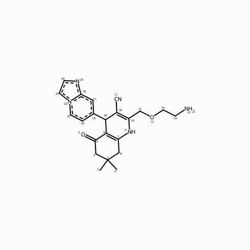 CC1(C)CC(=O)C2=C(C1)NC(COCCN)=C(C#N)C2c1ccn2ccnc2c1